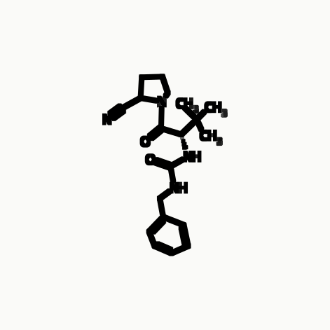 CC(C)(C)[C@H](NC(=O)NCc1ccccc1)C(=O)N1CCCC1C#N